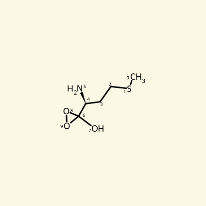 CSCC[C@H](N)C1(O)OO1